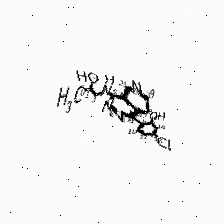 C[C@@H](O)CNc1nnc(-c2ccc(Cl)cc2O)c2ccncc12